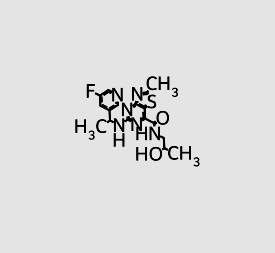 Cc1nc2nc(NC(C)c3cncc(F)c3)nc(C(=O)NCC(C)O)c2s1